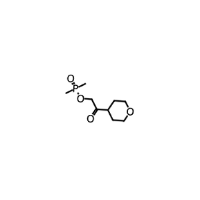 CP(C)(=O)OCC(=O)C1CCOCC1